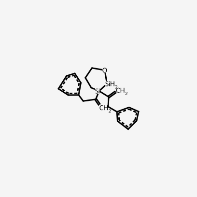 C=C(Cc1ccccc1)[Si]1(C(=C)Cc2ccccc2)CCCO[SiH2]1